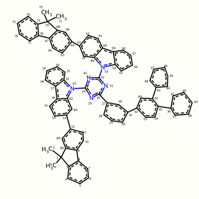 CC1(C)c2ccccc2-c2ccc(-c3ccc4c5ccccc5n(-c5nc(-c6cccc(-c7ccc(-c8ccccc8)c(-c8ccccc8)c7)c6)nc(-n6c7ccccc7c7ccc(-c8ccc9c(c8)C(C)(C)c8ccccc8-9)cc76)n5)c4c3)cc21